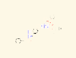 CC(C)(C)OC(=O)N[C@@H](CCOc1ccc(CNC(=O)OCc2ccccc2)cc1)C(=O)OC1CCCC1